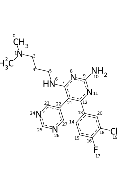 CN(C)CCCNc1nc(N)nc(-c2ccc(F)c(Cl)c2)c1-c1cncnc1